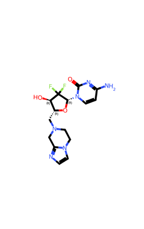 Nc1ccn([C@@H]2O[C@H](CN3CCn4ccnc4C3)[C@@H](O)C2(F)F)c(=O)n1